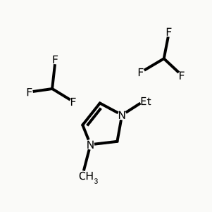 CCN1C=CN(C)C1.FC(F)F.FC(F)F